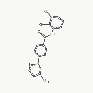 Cc1ccnc(-c2ccc(C(=O)Nc3cccc(Cl)c3Cl)cc2)c1